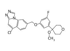 COC1(c2cc(F)cc(OCc3ccc4c(Cl)cc5nncn5c4c3)c2)CCOCC1